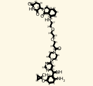 CC1(Oc2ccc(N)c(C(=N)c3cc(N4CCN(C(=O)CCOCCOCCNc5cccc6c5C(=O)N(C5CCC(=O)NC5=O)C6)CC4)ncn3)c2)CC1